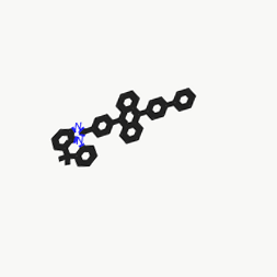 CC1(C)c2ccccc2-n2c(-c3ccc(-c4c5ccccc5c(-c5ccc(-c6ccccc6)cc5)c5ccccc45)cc3)nc3cccc1c32